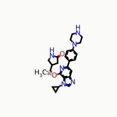 C[C@@H](Oc1nc(-c2ccc(N3CCNCC3)cc2)cc2ncn(C3CC3)c12)C1CNC(=O)C1